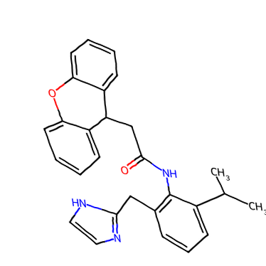 CC(C)c1cccc(Cc2ncc[nH]2)c1NC(=O)CC1c2ccccc2Oc2ccccc21